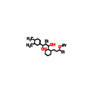 CCC(CCC1CCCCC1C(O)C(CC)C(O)C1=CCC(C)C(C)C1)OC(C)C